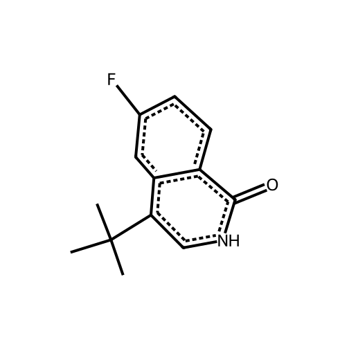 CC(C)(C)c1c[nH]c(=O)c2ccc(F)cc12